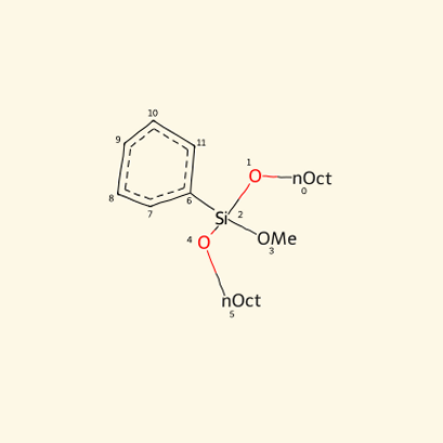 CCCCCCCCO[Si](OC)(OCCCCCCCC)c1ccccc1